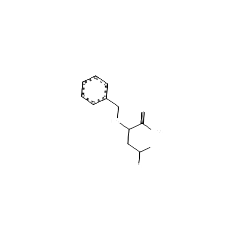 COC(=O)C(CC(C(F)(F)F)C(F)(F)F)NCc1ccccc1